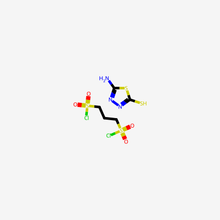 Nc1nnc(S)s1.O=S(=O)(Cl)CCCS(=O)(=O)Cl